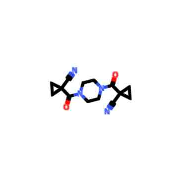 N#CC1(C(=O)N2CCN(C(=O)C3(C#N)CC3)CC2)CC1